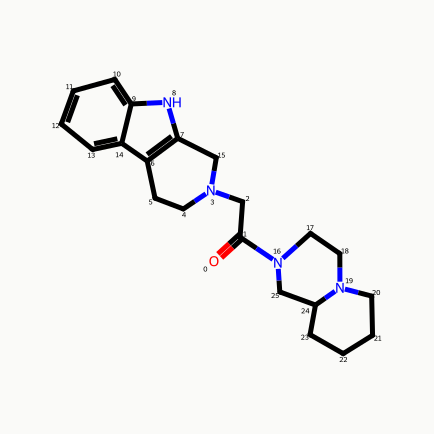 O=C(CN1CCc2c([nH]c3ccccc23)C1)N1CCN2CCCCC2C1